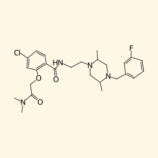 CC1CN(Cc2cccc(F)c2)C(C)CN1CCNC(=O)c1ccc(Cl)cc1OCC(=O)N(C)C